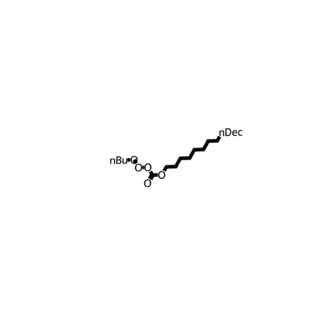 CCCCCCCCCCCCCCCCCCOC(=O)OOOCCCC